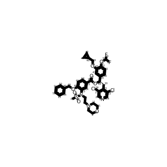 CS(=O)(=O)N(CCN1CCOCC1)c1cc(C(=O)O[C@@H](Cc2c(Cl)cncc2Cl)c2ccc(OC(F)F)c(OCC3CC3)c2)ccc1OCc1ccccc1